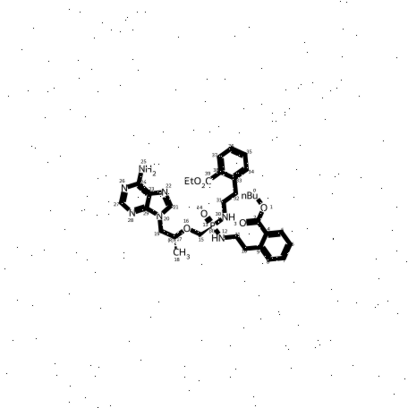 CCCCOC(=O)c1ccccc1CCN[P@@](=O)(CO[C@H](C)Cn1cnc2c(N)ncnc21)NCCc1ccccc1C(=O)OCC